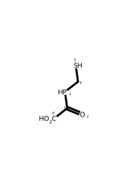 O=C(O)C(=O)PCS